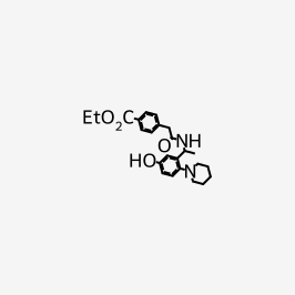 CCOC(=O)c1ccc(CC(=O)NC(C)c2cc(O)ccc2N2CCCCC2)cc1